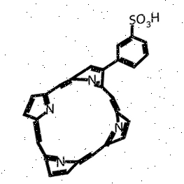 O=S(=O)(O)c1cccc(C2=CC3=CC4=NC(=CC5=NC(=CC6=NC(=CC2=N3)C=C6)C=C5)C=C4)c1